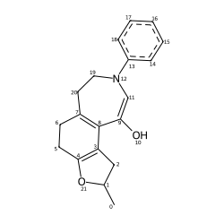 CC1CC2=C(CCC3=C2C(O)=CN(c2ccccc2)CC3)O1